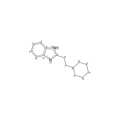 c1ccc2[nH]c(CCC3CCCCC3)nc2c1